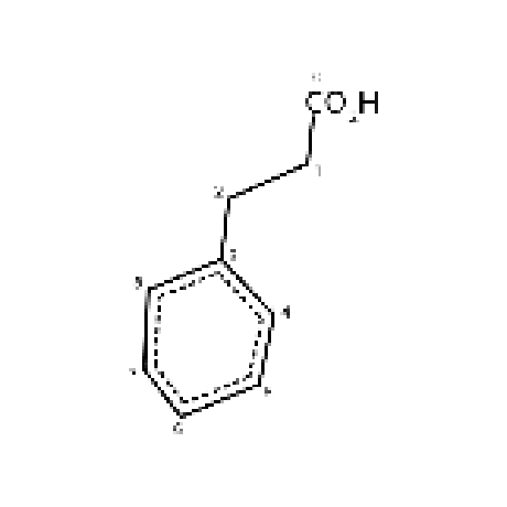 O=C(O)CCc1[c]cccc1